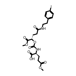 COC(=O)CC[C@H](NC(=O)O[C@@H](CCC(=O)NCCc1ccc(I)cc1)C(=O)OC)C(=O)O